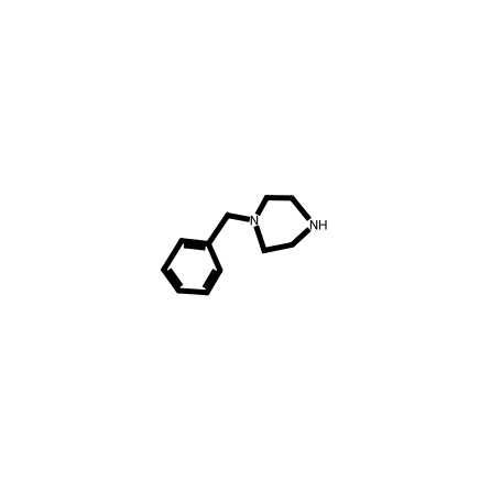 [CH](c1ccccc1)N1CCNCC1